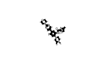 Cc1csc(C(=O)Nc2cc(-c3cnc(N4CCOCC4)nc3)c(F)cc2N2CCN(C)C(C)C2)n1